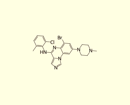 Cc1cccc(Cl)c1Nc1nc2c(Br)cc(N3CCN(C)CC3)cc2n2cncc12